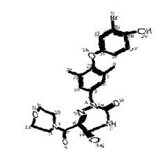 Cc1cc(-n2nc(C(=O)N3CCOCC3)c(=O)[nH]c2=O)cc(C)c1Oc1ccc(O)c(Br)c1